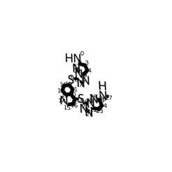 CNc1ccc2nnc(Sc3ccc4nccc(Sc5nnc6ccc(NC)nn56)c4c3)n2n1